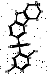 O=S(=O)(c1ccc2oc3c(c2c1)CCNC3)c1cc(F)ccc1F